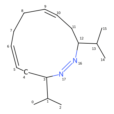 CC(C)C1CC=CCCC=CCC(C(C)C)N=N1